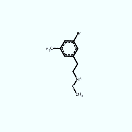 CSNCCc1cc(C)cc(Br)c1